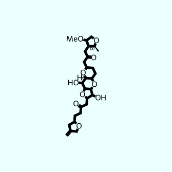 C=C1COC(CCC(=O)CC2OC3C(OC4CCC(CC(=O)CC5C(OC)CO[C@H]5C)O[C@@H]4C3O)C2O)C1